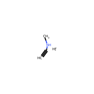 C#CNC.[Hf]